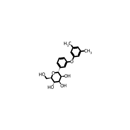 Cc1cc(C)cc(Oc2cccc([C@H]3O[C@H](CO)[C@@H](O)[C@H](O)[C@@H]3O)c2)c1